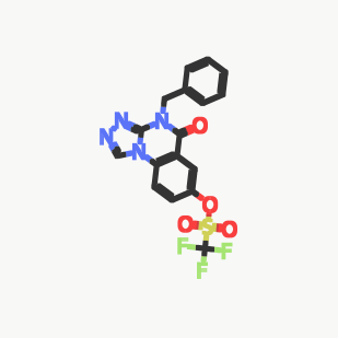 O=c1c2cc(OS(=O)(=O)C(F)(F)F)ccc2n2cnnc2n1Cc1ccccc1